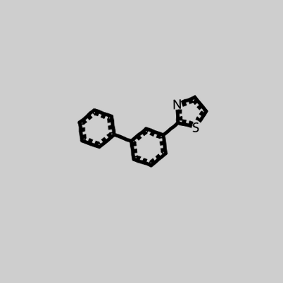 c1ccc(-c2cccc(-c3nccs3)c2)cc1